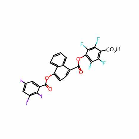 O=C(Oc1ccc(C(=O)Oc2c(F)c(F)c(C(=O)O)c(F)c2F)c2ccccc12)c1cc(I)cc(I)c1I